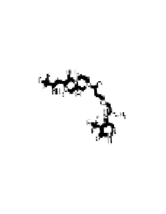 C[C@@H](COCCC(=O)N1CCN2C(N)=C(/C=C(\N)C(F)(F)F)OC[C@@H]2C1)Nc1cn[nH]c(=O)c1C(F)(F)F